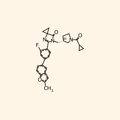 Cc1cc2cc(-c3ccc(C4=NC5(CC5)C(=O)N4C[C@@H]4CCN(C(=O)C5CC5)C4)c(F)c3)ccc2o1